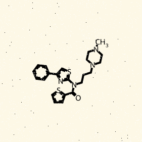 CN1CCN(CCCN(C(=O)c2cccs2)c2nc(-c3ccccc3)cs2)CC1